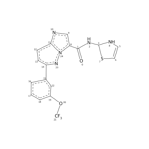 O=C(NC1NC=CS1)c1cnc2ccc(-c3cccc(OC(F)(F)F)c3)nn12